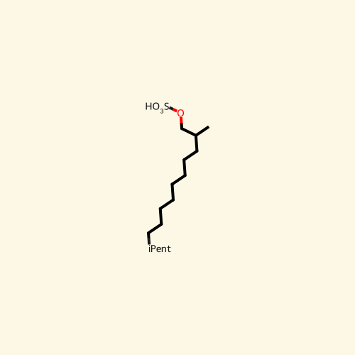 CCCC(C)CCCCCCCCC(C)COS(=O)(=O)O